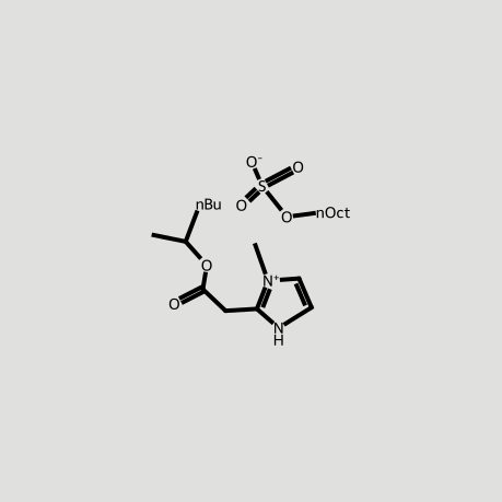 CCCCC(C)OC(=O)Cc1[nH]cc[n+]1C.CCCCCCCCOS(=O)(=O)[O-]